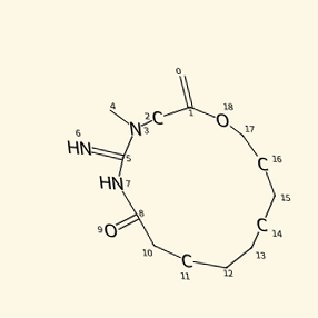 C=C1CN(C)C(=N)NC(=O)CCCCCCCCO1